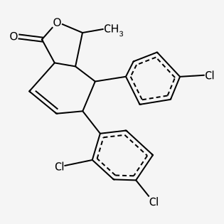 CC1OC(=O)C2C=CC(c3ccc(Cl)cc3Cl)C(c3ccc(Cl)cc3)C12